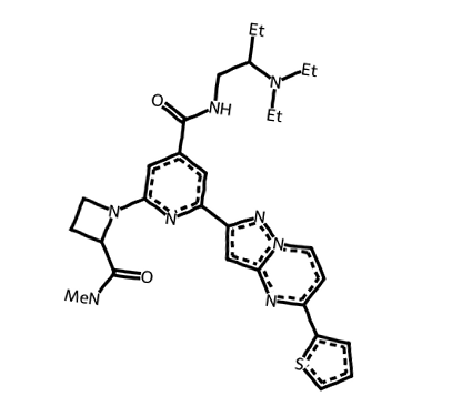 CCC(CNC(=O)c1cc(-c2cc3nc(-c4cccs4)ccn3n2)nc(N2CCC2C(=O)NC)c1)N(CC)CC